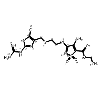 CCOC(=O)C1=C(N)C(NCCSCc2nc(NC(=N)N)sc2Cl)=NS1(=O)=O